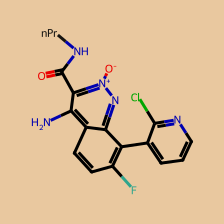 CCCNC(=O)c1c(N)c2ccc(F)c(-c3cccnc3Cl)c2n[n+]1[O-]